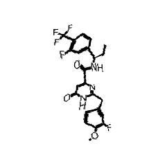 CC[C@@H](NC(=O)c1cc(=O)[nH]c(Cc2ccc(OC)c(F)c2)n1)c1ccc(C(F)(F)F)c(F)c1